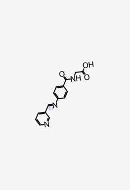 O=C(O)CNC(=O)c1ccc(/N=C/c2cccnc2)cc1